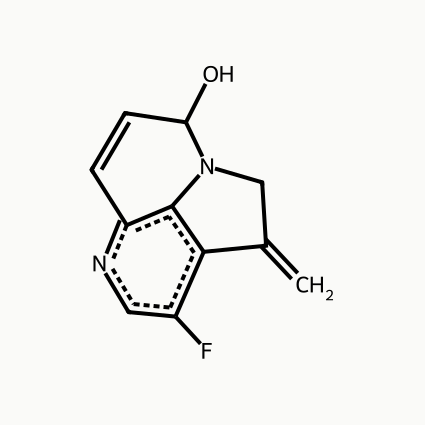 C=C1CN2c3c(ncc(F)c31)C=CC2O